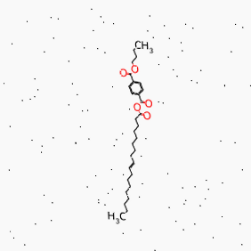 CCCCCCCCC=CCCCCCCCC(=O)OC(=O)c1ccc(C(=O)OCCCC)cc1